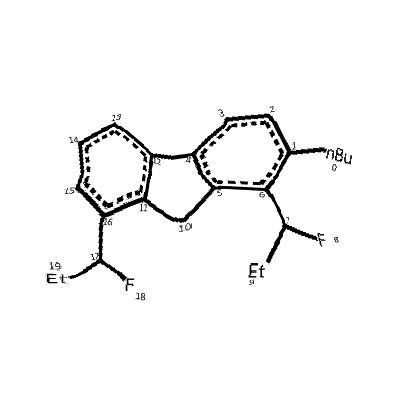 CCCCc1ccc2c(c1C(F)CC)Cc1c-2cccc1C(F)CC